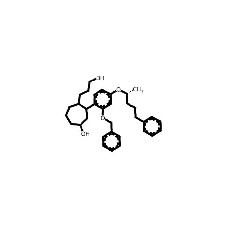 C[C@H](CCCc1ccccc1)Oc1ccc(C2CC(O)CCCC2CCCO)c(OCc2ccccc2)c1